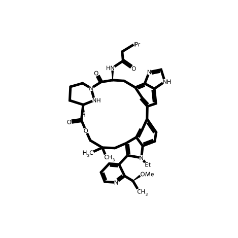 CCn1c(-c2cccnc2[C@H](C)OC)c2c3cc(ccc31)-c1cc(c3nc[nH]c3c1)C[C@H](NC(=O)CC(C)C)C(=O)N1CCC[C@H](N1)C(=O)OCC(C)(C)C2